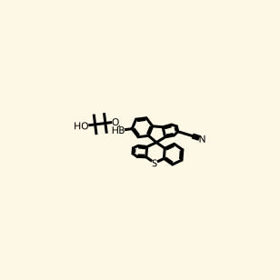 CC(C)(O)C(C)(C)OBc1ccc2c(c1)C1(c3ccccc3Sc3ccccc31)c1cc(C#N)ccc1-2